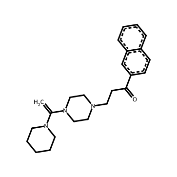 C=C(N1CCCCC1)N1CCN(CCC(=O)c2ccc3ccccc3c2)CC1